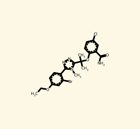 CCOc1ccc(-c2nnc(C(C)(C)Oc3ccc(Cl)cc3C(N)=O)n2C)c(Br)c1